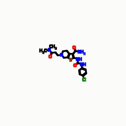 CN(C)C(=O)CCN1CCc2c(sc(NC(=O)Nc3ccc(Cl)cc3)c2C(N)=O)C1